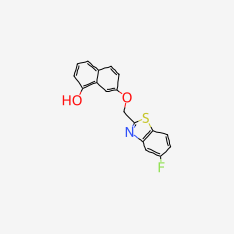 Oc1cccc2ccc(OCc3nc4cc(F)ccc4s3)cc12